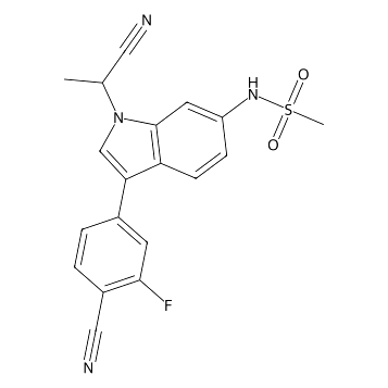 CC(C#N)n1cc(-c2ccc(C#N)c(F)c2)c2ccc(NS(C)(=O)=O)cc21